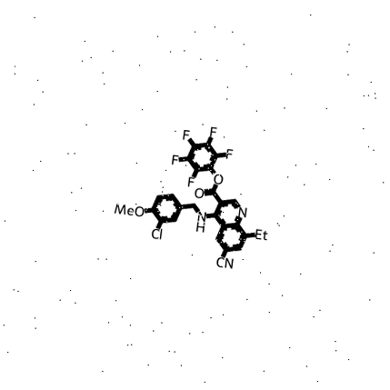 CCc1cc(C#N)cc2c(NCc3ccc(OC)c(Cl)c3)c(C(=O)Oc3c(F)c(F)c(F)c(F)c3F)cnc12